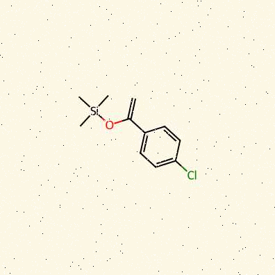 C=C(O[Si](C)(C)C)c1ccc(Cl)cc1